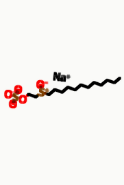 CCCCCCCCCCCC[S+]([O-])CCOS(=O)(=O)[O-].[Na+]